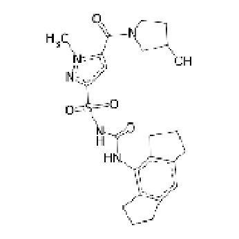 Cn1nc(S(=O)(=O)NC(=O)Nc2c3c(cc4c2CCC4)CCC3)cc1C(=O)N1CCC(O)C1